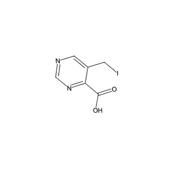 O=C(O)c1ncncc1CI